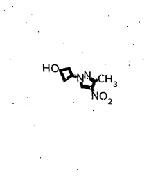 Cc1nn(C2CC(O)C2)cc1[N+](=O)[O-]